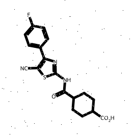 N#Cc1sc(NC(=O)C2CCC(C(=O)O)CC2)nc1-c1ccc(F)cc1